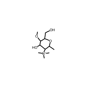 COC1C(CO)OC(C)C([N+](C)(C)C)C1O